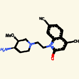 CO[C@H]1CN(CCn2c(=O)cc(C)c3ccc(C#N)cc32)CC[C@H]1N